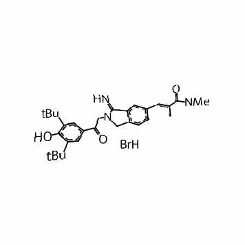 Br.CNC(=O)/C(C)=C/c1ccc2c(c1)C(=N)N(CC(=O)c1cc(C(C)(C)C)c(O)c(C(C)(C)C)c1)C2